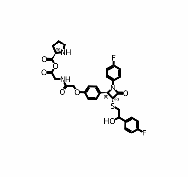 O=C(COc1ccc([C@@H]2[C@@H](SCC(O)c3ccc(F)cc3)C(=O)N2c2ccc(F)cc2)cc1)NCC(=O)OC(=O)[C@H]1CCCN1